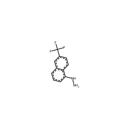 NNc1cccc2cc(C(F)(F)F)ccc12